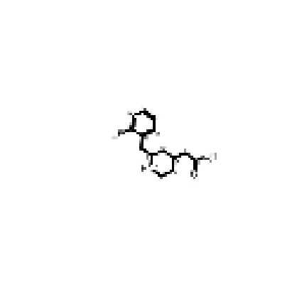 O=C(O)CC1CCNC(Cc2ccccc2F)C1